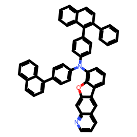 c1ccc(-c2ccc3ccccc3c2-c2ccc(N(c3ccc(-c4cccc5ccccc45)cc3)c3cccc4c3oc3cc5ncccc5cc34)cc2)cc1